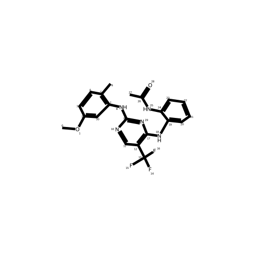 COc1ccc(C)c(Nc2ncc(C(F)(F)F)c(Nc3ccccc3NC(C)=O)n2)c1